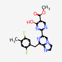 COC(=O)c1cnc(-c2cn3ccnc3c(Cc3cc(F)c(C)cc3F)n2)nc1O